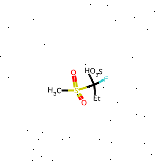 CCC(F)(S(C)(=O)=O)S(=O)(=O)O